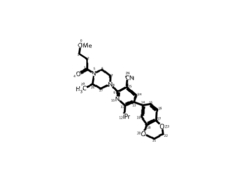 COCCC(=O)N1CCN(c2nc(C(C)C)c(-c3ccc4c(c3)OCCO4)cc2C#N)CC1C